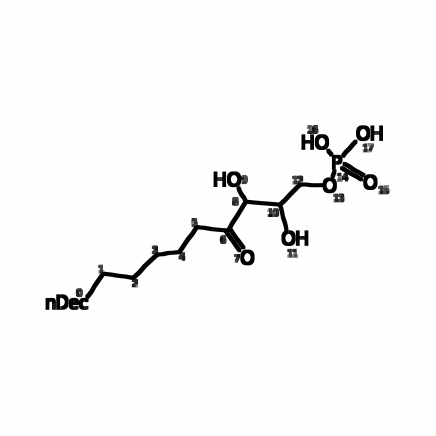 CCCCCCCCCCCCCCCC(=O)C(O)C(O)COP(=O)(O)O